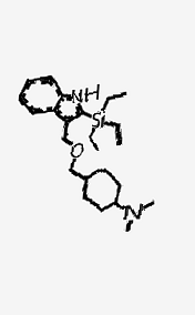 CC[Si](CC)(CC)c1[nH]c2ccccc2c1COCC1CCC(N(C)C)CC1